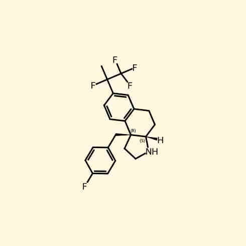 CC(F)(c1ccc2c(c1)CC[C@@H]1NCC[C@]21Cc1ccc(F)cc1)C(F)(F)F